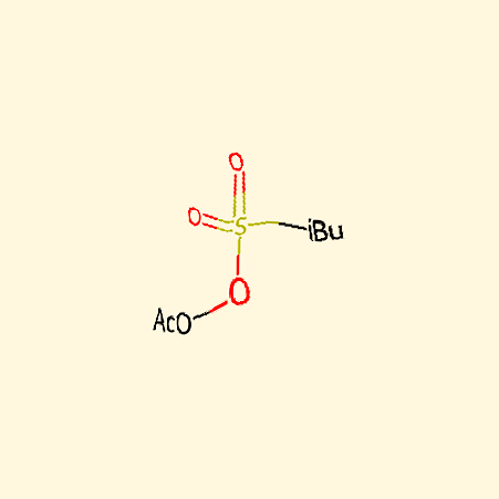 CCC(C)S(=O)(=O)OOC(C)=O